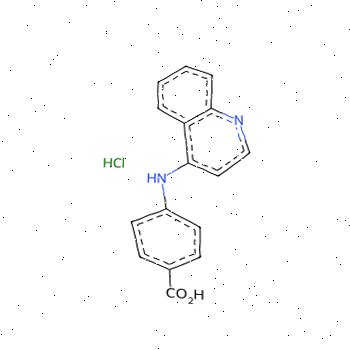 Cl.O=C(O)c1ccc(Nc2ccnc3ccccc23)cc1